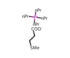 CCC[P+](CCC)(CCC)CCC.CSCCC(=O)[O-]